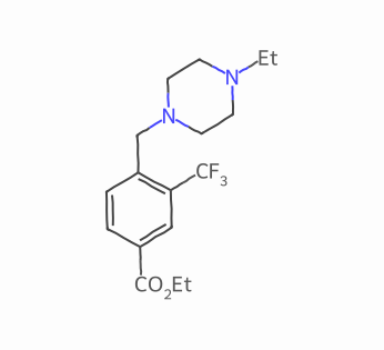 CCOC(=O)c1ccc(CN2CCN(CC)CC2)c(C(F)(F)F)c1